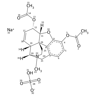 CC(=O)Oc1ccc2c3c1O[C@H]1[C@@H](OC(C)=O)C=C[C@H]4[C@@H](C2)N(C)CC[C@@]341.O=S(=O)([O-])O.[Na+]